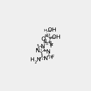 Nc1nc(F)nc2c1ncn2[C@@H]1O[C@H](CO)C(O)C1F